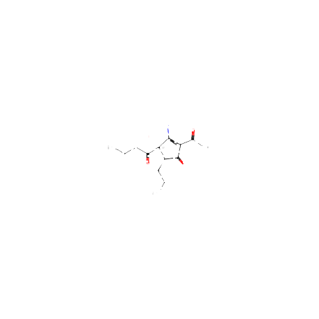 CCC(C)C(=O)C1=C(N)[C@](O)(C(=O)CCC(C)C)[C@H](CCC(C)C)C1=O